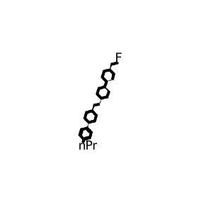 CCCc1ccc([C@H]2CC[C@H](CC[C@H]3CC[C@H]([C@H]4CC[C@H](CCF)CC4)CC3)CC2)cc1